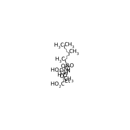 CCC(CC1(C)O[C@@H]2[C@H](O1)[C@@H](CO)O[C@H]2n1ncc(=O)n(CC=C(C)CCC=C(C)CCC=C(C)C)c1=O)C(=O)O